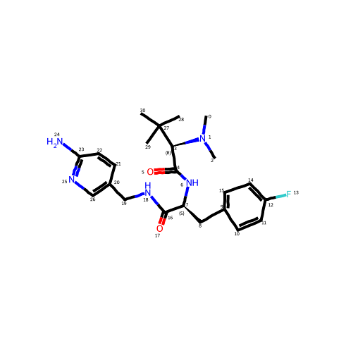 CN(C)[C@@H](C(=O)N[C@@H](Cc1ccc(F)cc1)C(=O)NCc1ccc(N)nc1)C(C)(C)C